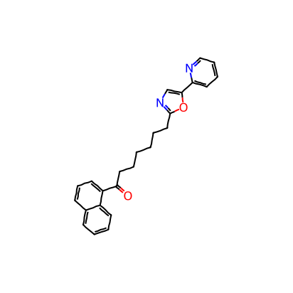 O=C(CCCCCCc1ncc(-c2ccccn2)o1)c1cccc2ccccc12